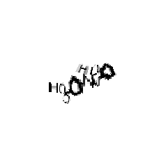 O=C(O)c1ccc(N=Nc2ccccc2O)cc1